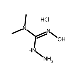 CN(C)C(=NO)NN.Cl